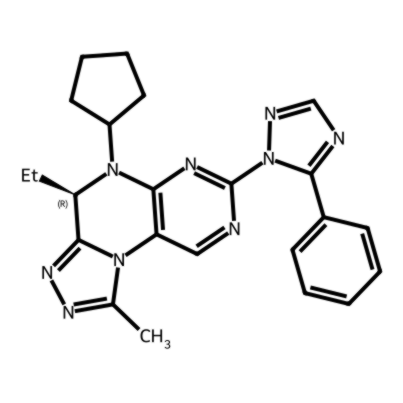 CC[C@@H]1c2nnc(C)n2-c2cnc(-n3ncnc3-c3ccccc3)nc2N1C1CCCC1